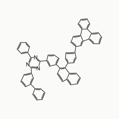 c1ccc(-c2cccc(-c3nc(-c4ccccc4)nc(-c4cccc(-c5ccc6ccccc6c5-c5ccc(-c6ccc7c8ccccc8c8ccccc8c7c6)cc5)c4)n3)c2)cc1